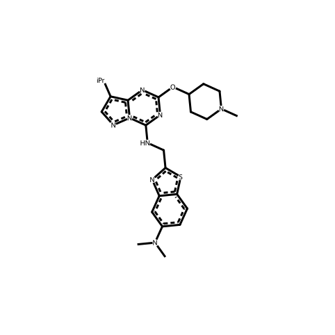 CC(C)c1cnn2c(NCc3nc4cc(N(C)C)ccc4s3)nc(OC3CCN(C)CC3)nc12